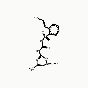 CON1C=C(C)N=C(NC(=O)NS(=O)(=O)c2ccccc2C=CC(F)(F)F)N1